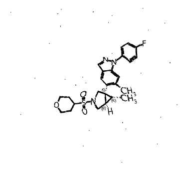 Cc1cc2c(cnn2-c2ccc(F)cc2)cc1[C@@]12CN(S(=O)(=O)C3CCOCC3)C[C@@H]1[C@H]2C